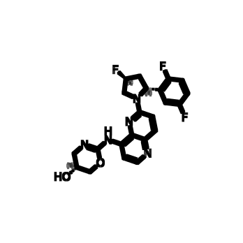 O[C@@H]1CN=C(Nc2ccnc3ccc(N4C[C@@H](F)C[C@@H]4c4cc(F)ccc4F)nc23)OC1